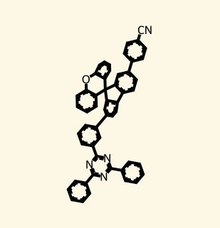 N#Cc1ccc(-c2ccc3c(c2)C2(c4ccccc4Oc4ccccc42)c2cc(-c4cccc(-c5nc(-c6ccccc6)nc(-c6ccccc6)n5)c4)ccc2-3)cc1